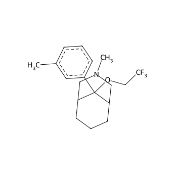 Cc1cccc(C2(OCC(F)(F)F)C3CCCC2CN(C)C3)c1